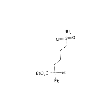 CCOC(=O)C(CC)(CC)CCCCS(N)(=O)=O